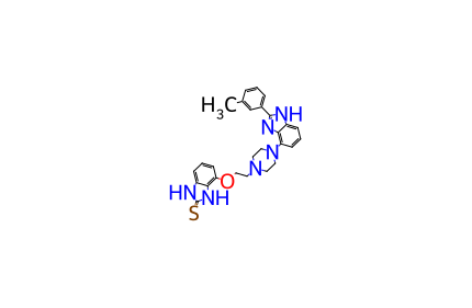 Cc1cccc(-c2nc3c(N4CCN(CCOc5cccc6[nH]c(=S)[nH]c56)CC4)cccc3[nH]2)c1